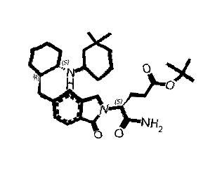 CC1(C)CCCC(N[C@H]2CCCC[C@@H]2Cc2ccc3c(c2)CN([C@@H](CCC(=O)OC(C)(C)C)C(N)=O)C3=O)C1